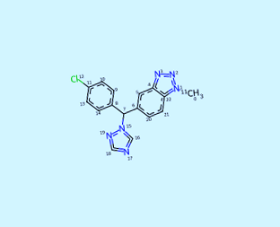 [11CH3]n1nnc2cc(C(c3ccc(Cl)cc3)n3cncn3)ccc21